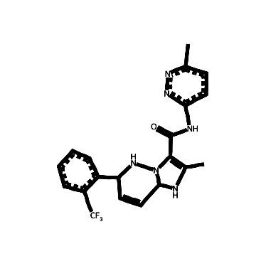 CC1=C(C(=O)Nc2ccc(C)nn2)N2NC(c3ccccc3C(F)(F)F)C=CC2N1